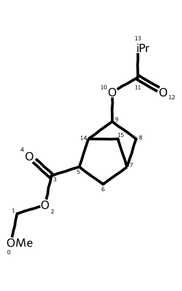 COCOC(=O)C1CC2CC(OC(=O)C(C)C)C1C2